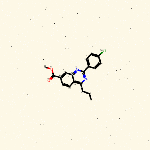 CCCc1nc(-c2ccc(Cl)cc2)nc2cc(C(=O)OC)ccc12